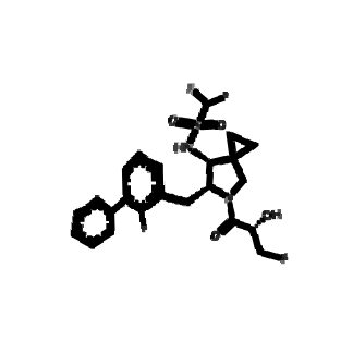 O=C([C@H](O)CF)N1CC2(CC2)[C@H](NS(=O)(=O)C(F)F)[C@@H]1Cc1cccc(-c2ccccc2)c1F